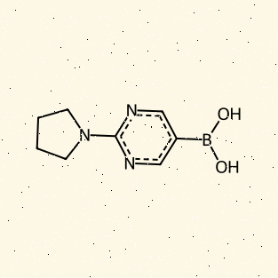 OB(O)c1cnc(N2CCCC2)nc1